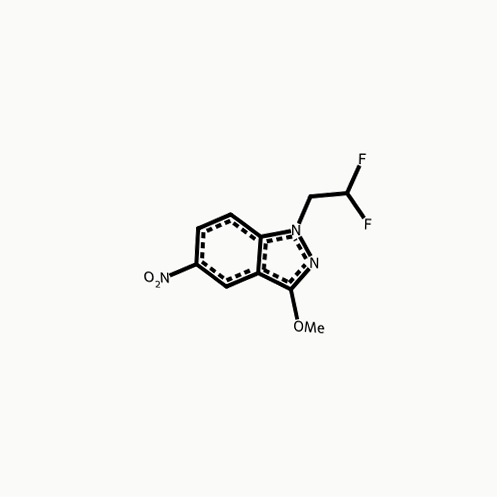 COc1nn(CC(F)F)c2ccc([N+](=O)[O-])cc12